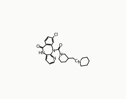 O=C1Nc2cccnc2N(C(=O)N2CCCC(CCN3CCCCC3)C2)c2cc(Cl)ccc21